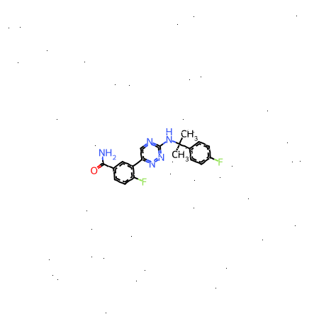 CC(C)(Nc1ncc(-c2cc(C(N)=O)ccc2F)nn1)c1ccc(F)cc1